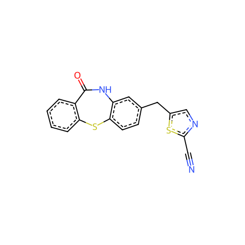 N#Cc1ncc(Cc2ccc3c(c2)NC(=O)c2ccccc2S3)s1